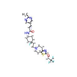 Cc1ncc(/C=C/C(=O)N[C@H]2CC[C@](F)(CCN3CCc4nc(OCC(F)(F)F)sc4CC3)CC2)cn1